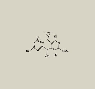 CCc1nc(OC)c(C(C)C)c(C(O)c2cc(C)cc(C#N)c2)c1CC1CC1